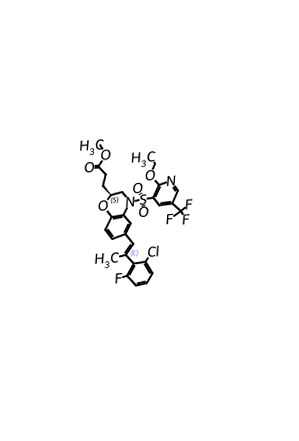 CCOc1ncc(C(F)(F)F)cc1S(=O)(=O)N1C[C@H](CCC(=O)OC)Oc2ccc(/C=C(\C)c3c(F)cccc3Cl)cc21